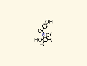 CC(C)Oc1c(C(C)C)cc(C(C)C)c(O)c1/C=C/C(=O)c1ccc(O)cc1